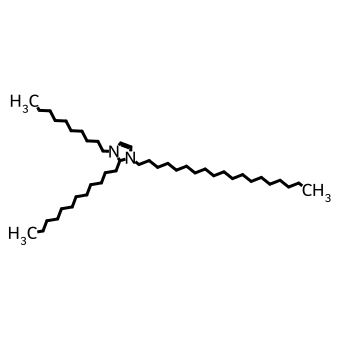 CCCCCCCCCCCCCCCCCCCN1C=CN(CCCCCCCCCC)C1CCCCCCCCCCCC